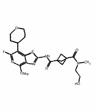 COc1nc(F)c(C2CCOCC2)c2sc(NC(=O)C34CC(C(=O)N(C)CCO)(C3)C4)nc12